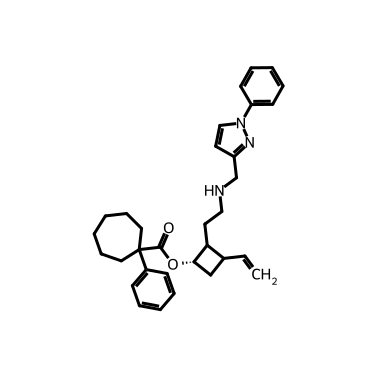 C=CC1C[C@H](OC(=O)C2(c3ccccc3)CCCCCC2)C1CCNCc1ccn(-c2ccccc2)n1